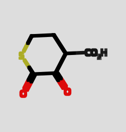 O=C1SCCC(C(=O)O)C1=O